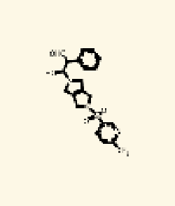 O=C[C@@H](c1ccccc1)C(O)N1CC2=C(C1)CN(S(=O)(=O)c1ccc(C(F)(F)F)nc1)C2